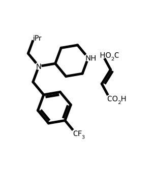 CC(C)CN(Cc1ccc(C(F)(F)F)cc1)C1CCNCC1.O=C(O)C=CC(=O)O